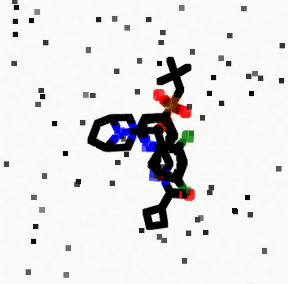 CC(C)(C)CS(=O)(=O)c1cc(CNC(=O)C2CCC2)nc(N2C3CCC2CN(C(=O)c2ccc(F)cc2Cl)C3)c1